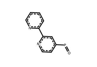 O=Pc1ccnc(-c2ccccn2)c1